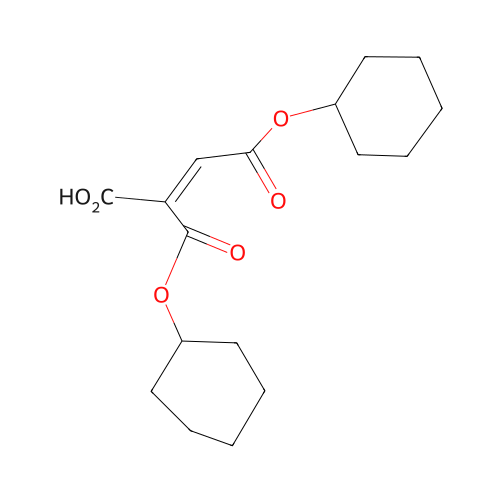 O=C(/C=C(/C(=O)O)C(=O)OC1CCCCC1)OC1CCCCC1